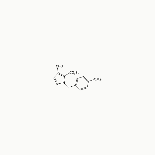 CCOC(=O)c1c(C=O)cnn1Cc1ccc(OC)cc1